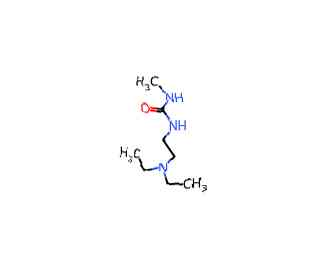 CCN(CC)CCNC(=O)NC